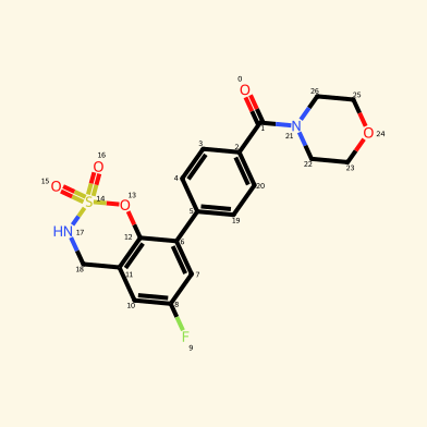 O=C(c1ccc(-c2cc(F)cc3c2OS(=O)(=O)NC3)cc1)N1CCOCC1